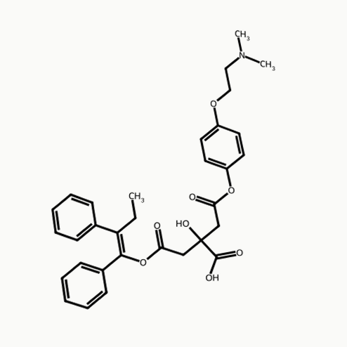 CCC(=C(OC(=O)CC(O)(CC(=O)Oc1ccc(OCCN(C)C)cc1)C(=O)O)c1ccccc1)c1ccccc1